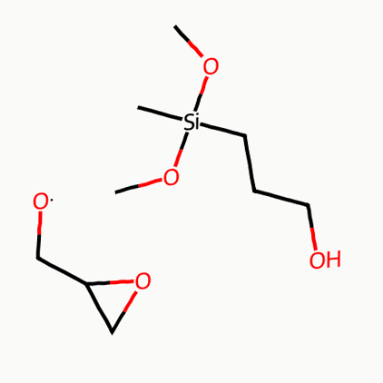 CO[Si](C)(CCCO)OC.[O]CC1CO1